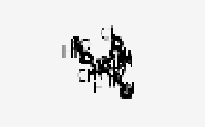 COC(=O)Nc1ccc(-c2nc(C(CC(=O)NCc3ccccn3)NC(=O)/C=C/c3cc(Cl)ccc3-n3cnnn3)[nH]c2Cl)cc1